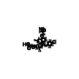 CC1Cc2c(OCc3cnco3)ccc3c2c(c(CC(C)(C)C=NOCC(=O)O)n3Cc2ccc(Cl)cc2)S1